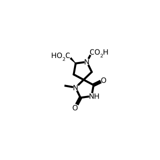 CN1C(=O)NC(=O)C12C[C@@H](C(=O)O)N(C(=O)O)C2